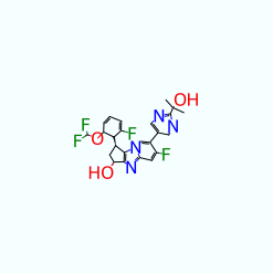 CC(C)(O)c1ncc(-c2cn3c4c(nc3cc2F)[C@@H](O)C[C@H]4C2C(F)=CC=CC2OC(F)F)cn1